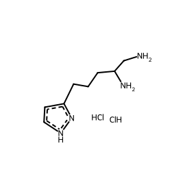 Cl.Cl.NCC(N)CCCc1cc[nH]n1